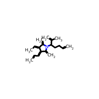 C=C/C=c1/c(=C)n(C(CCC=C)C(=C)C)c(=C)/c1=C/C